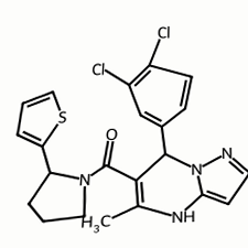 CC1=C(C(=O)N2CCCC2c2cccs2)C(c2ccc(Cl)c(Cl)c2)n2nccc2N1